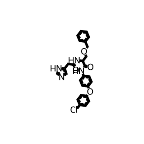 O=C(Cc1cnc[nH]1)NC(COCc1ccccc1)C(=O)Nc1ccc(Oc2ccc(Cl)cc2)cc1